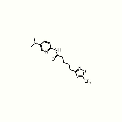 CN(C)c1ccc(NC(=O)CCCCc2noc(C(F)(F)F)n2)nc1